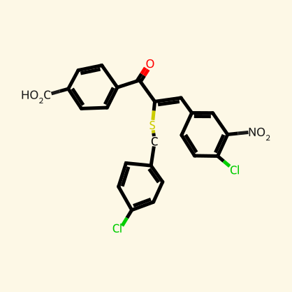 O=C(O)c1ccc(C(=O)C(=Cc2ccc(Cl)c([N+](=O)[O-])c2)SCc2ccc(Cl)cc2)cc1